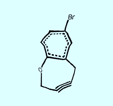 Brc1ccc2c(c1)CC#CCO2